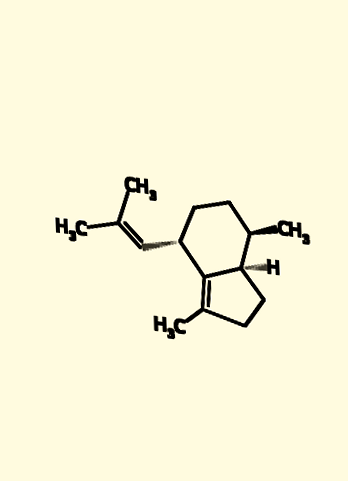 CC(C)=C[C@@H]1CC[C@@H](C)[C@H]2CCC(C)=C12